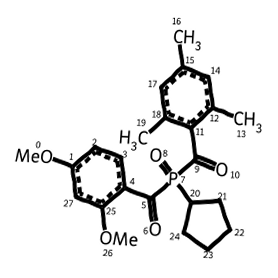 COc1ccc(C(=O)P(=O)(C(=O)c2c(C)cc(C)cc2C)C2CCCC2)c(OC)c1